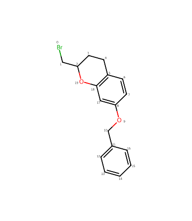 BrCC1CCc2ccc(OCc3ccccc3)cc2O1